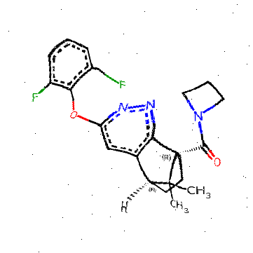 CC1(C)[C@H]2CC[C@]1(C(=O)N1CCC1)c1nnc(Oc3c(F)cccc3F)cc12